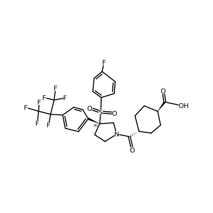 O=C(O)[C@H]1CC[C@H](C(=O)N2CC[C@](c3ccc(C(F)(C(F)(F)F)C(F)(F)F)cc3)(S(=O)(=O)c3ccc(F)cc3)C2)CC1